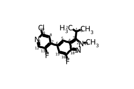 CC(C)c1c2cc(-c3cc(Cl)ncc3F)cc(F)c2nn1C